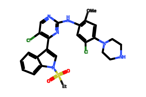 CCS(=O)(=O)n1cc(-c2nc(Nc3cc(Cl)c(N4CCNCC4)cc3OC)ncc2Cl)c2ccccc21